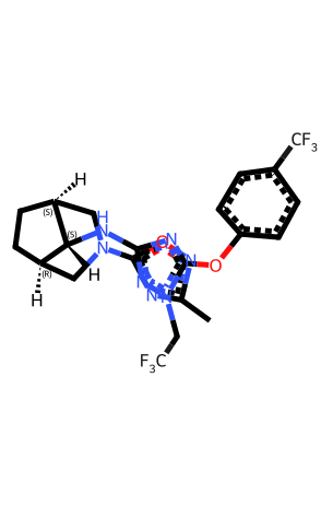 Cc1noc(N2C[C@H]3CC[C@@H](C2)[C@@H]3Nc2nc(Oc3ccc(C(F)(F)F)cc3)n(CC(F)(F)F)n2)n1